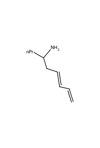 C=CC=CCC(N)CCC